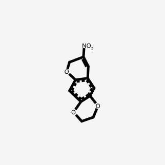 O=[N+]([O-])C1=Cc2cc3c(cc2OC1)OCCO3